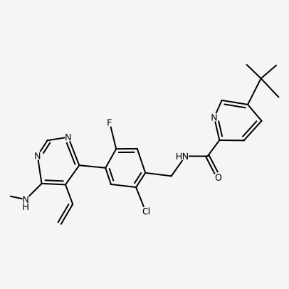 C=Cc1c(NC)ncnc1-c1cc(Cl)c(CNC(=O)c2ccc(C(C)(C)C)cn2)cc1F